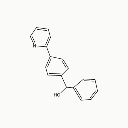 OC(c1ccccc1)c1ccc(-c2ccccn2)cc1